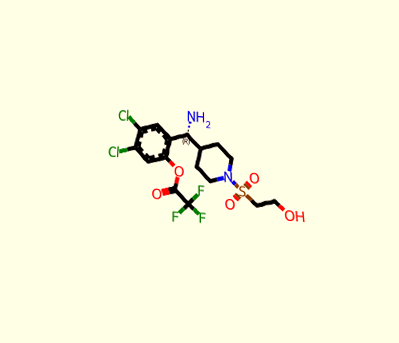 N[C@@H](c1cc(Cl)c(Cl)cc1OC(=O)C(F)(F)F)C1CCN(S(=O)(=O)CCO)CC1